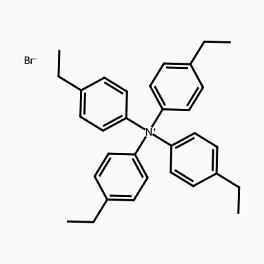 CCc1ccc([N+](c2ccc(CC)cc2)(c2ccc(CC)cc2)c2ccc(CC)cc2)cc1.[Br-]